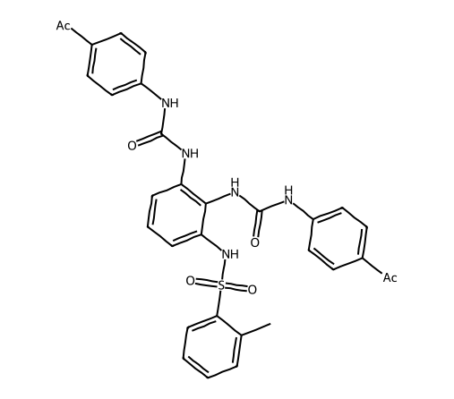 CC(=O)c1ccc(NC(=O)Nc2cccc(NS(=O)(=O)c3ccccc3C)c2NC(=O)Nc2ccc(C(C)=O)cc2)cc1